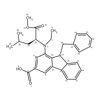 CCN(c1nc(C(=O)O)cc2c3ccccc3n(Cc3ccccc3)c12)[C@@H](CC(C)C)C(=O)OC